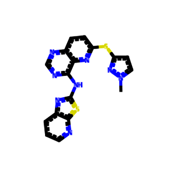 Cn1ccc(Sc2ccc3ncnc(Nc4nc5cccnc5s4)c3n2)n1